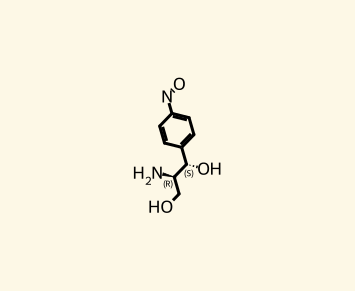 N[C@H](CO)[C@@H](O)c1ccc(N=O)cc1